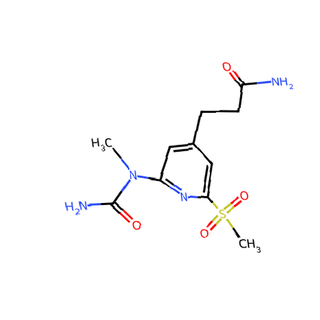 CN(C(N)=O)c1cc(CCC(N)=O)cc(S(C)(=O)=O)n1